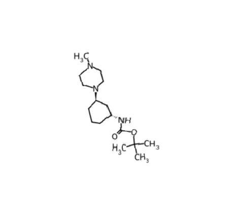 CN1CCN([C@@H]2CCC[C@@H](NC(=O)OC(C)(C)C)C2)CC1